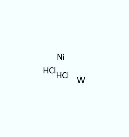 Cl.Cl.[Ni].[W]